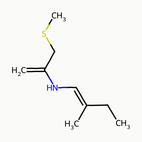 C=C(CSC)N/C=C(\C)CC